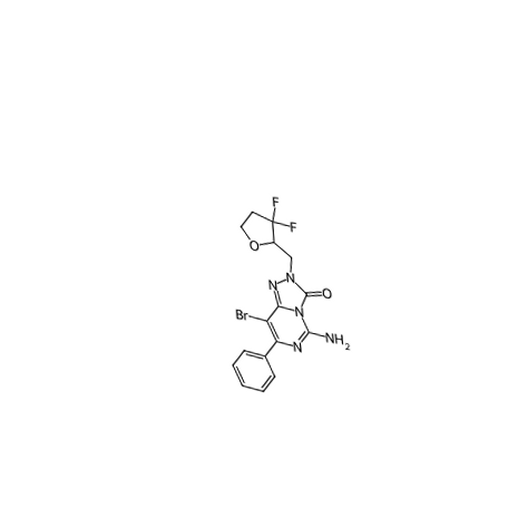 Nc1nc(-c2ccccc2)c(Br)c2nn(CC3OCCC3(F)F)c(=O)n12